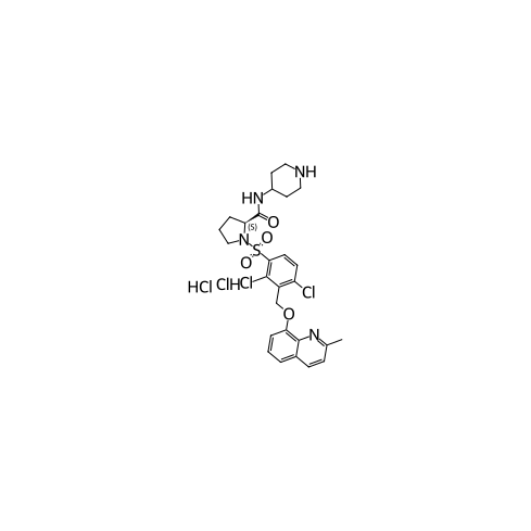 Cc1ccc2cccc(OCc3c(Cl)ccc(S(=O)(=O)N4CCC[C@H]4C(=O)NC4CCNCC4)c3Cl)c2n1.Cl.Cl